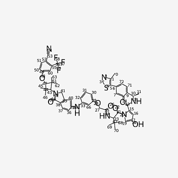 Cc1ncsc1-c1ccc([C@@H](C)NC(=O)c2cc(O)cn2C(=O)C(NC(=O)COc2cccc(Nc3ccc4c(c3)CN(C3C(C)(C)C(Oc5ccc(C#N)c(C(F)(F)F)c5)C3(C)C)C4=O)c2)C(C)(C)C)cc1